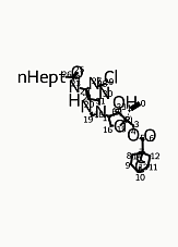 C#C[C@]1(COC(=O)C23CCC(CC2)CC3)OCC(n2cnc3c(NC(=O)CCCCCCC)nc(Cl)nc32)[C@@H]1O